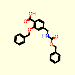 O=C(NCc1ccc(C(=O)O)c(OCc2ccccc2)c1)OCc1ccccc1